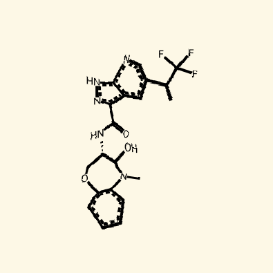 CC(c1cnc2[nH]nc(C(=O)N[C@H]3COc4ccccc4N(C)C3O)c2c1)C(F)(F)F